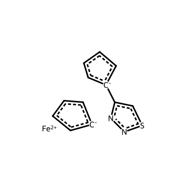 [Fe+2].c1cc[c-](-c2csnn2)c1.c1cc[cH-]c1